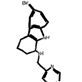 Brc1ccc2[nH]c3c(c2c1)CCCC3NCc1ccccn1